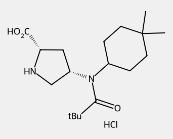 CC1(C)CCC(N(C(=O)C(C)(C)C)[C@@H]2CN[C@H](C(=O)O)C2)CC1.Cl